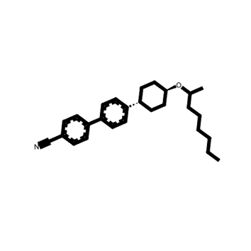 CCCCCCC(C)O[C@H]1CC[C@H](c2ccc(-c3ccc(C#N)cc3)cc2)CC1